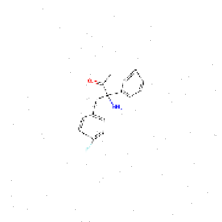 CC(=O)C(N)(Cc1ccc(F)cc1)c1ccccc1